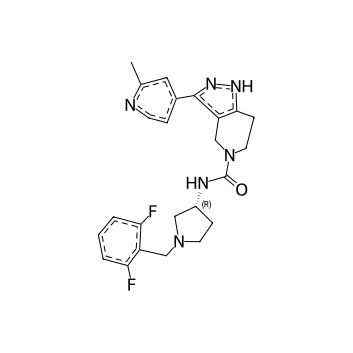 Cc1cc(-c2n[nH]c3c2CN(C(=O)N[C@@H]2CCN(Cc4c(F)cccc4F)C2)CC3)ccn1